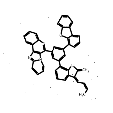 C=c1oc2c(-c3cc(-c4cccc5c4oc4ccccc45)cc(-c4nc5ccccc5c5nc6ccccn6c45)c3)cccc2/c1=C/C=C\C